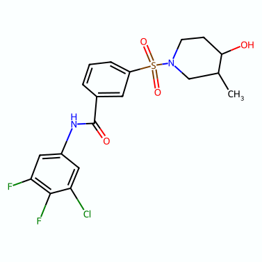 CC1CN(S(=O)(=O)c2cccc(C(=O)Nc3cc(F)c(F)c(Cl)c3)c2)CCC1O